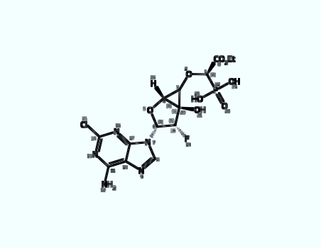 CCOC(=O)[C@H](OC1[C@H]2O[C@@H](n3cnc4c(N)nc(Cl)nc43)[C@@H](F)[C@@]12O)P(=O)(O)O